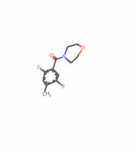 Cc1cc(F)c(C(=O)N2CCOCC2)cc1F